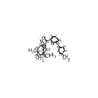 Cc1ccc(-c2cccc(C(=O)N3C[C@]4(C)C[C@H]3CC(C)(C)C4)n2)cc1